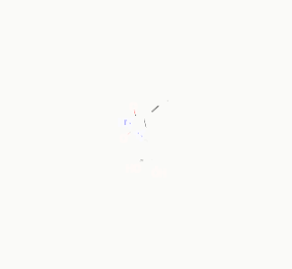 C[Si](C)(C)C#Cc1cn([C@H]2C[C@@H](CO)[C@H](O)C2)c(=O)[nH]c1=O